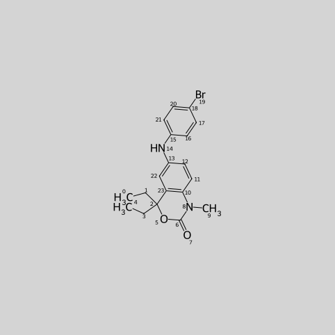 CCC1(CC)OC(=O)N(C)c2ccc(Nc3ccc(Br)cc3)cc21